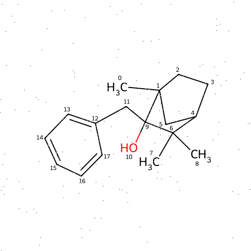 CC12CCC(C1)C(C)(C)C2(O)Cc1ccccc1